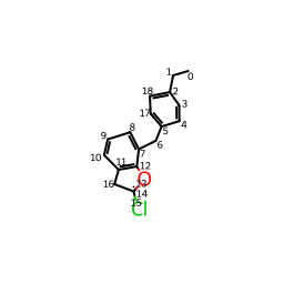 CCc1ccc(Cc2cccc3c2O[C](Cl)C3)cc1